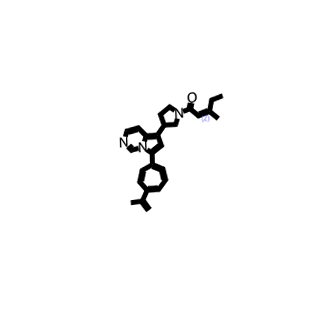 C=C(C)C1=CC=C=C(c2cc(C3CCN(C(=O)/C=C(/C)CC)C3)c3ccncn23)C=C1